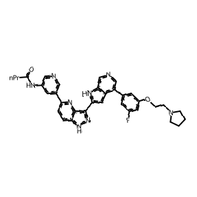 CCCC(=O)Nc1cncc(-c2ccc3[nH]nc(-c4cc5c(-c6cc(F)cc(OCCN7CCCC7)c6)cncc5[nH]4)c3n2)c1